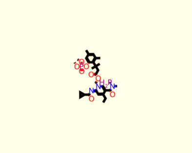 CCc1c/c(=N\C(=O)C2CC2)n(COC(=O)CC(C)(C)c2c(C)cc(C)cc2OP(=O)(OC)OC)cc1C(=O)N(C)P